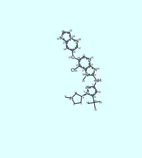 CN1CC[C@H](n2nc(Nc3nc4ncc(Oc5cnn6ccnc6c5)c(Cl)c4n3C)cc2C(C)(C)C)C1